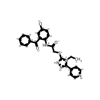 CCn1c(SCC(=O)Nc2ccc(Cl)cc2C(=O)c2ccccc2)nnc1-c1ccncc1